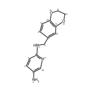 Nc1ccc(NCc2ccc3c(c2)OCCO3)nc1